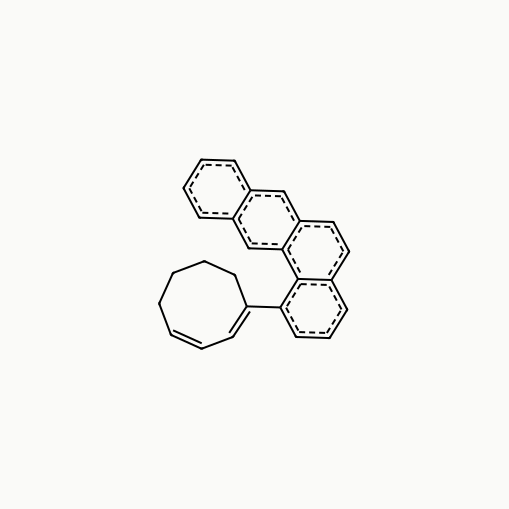 C1=CCCCCC(c2cccc3ccc4cc5ccccc5cc4c23)=C1